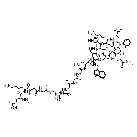 NCCCC[C@H](NC(=O)[C@H](CCC(=O)O)NC(=O)[C@H](Cc1ccccc1)NC(=O)[C@H](CCC(N)=O)NC(=O)[C@@H]1CCCN1C(=O)[C@H](Cc1c[nH]cn1)NC(=O)[C@H](CO)NC(=O)[C@H](Cc1c[nH]c2ccccc12)NC(=O)[C@H](CO)NC(=O)CNC(=O)CNC(=O)CNC(=O)[C@H](CO)NC(=O)CNC(=O)CNC(=O)CNC(=O)[C@H](CCCCN)NC(=O)[C@@H](N)CCC(=O)O)C(=O)O